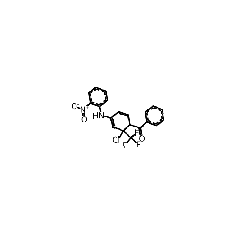 O=C(c1ccccc1)C1C=CC(Nc2ccccc2[N+](=O)[O-])=CC1(Cl)C(F)(F)F